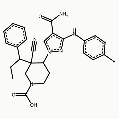 CCC(c1ccccc1)C1(C#N)CN(C(=O)O)CCC1n1cc(C(N)=O)c(Nc2ccc(F)cc2)n1